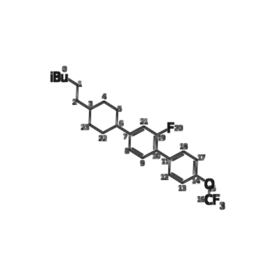 CCC(C)CCC1CCC(c2ccc(-c3ccc(OC(F)(F)F)cc3)c(F)c2)CC1